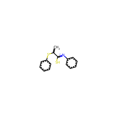 C=C(Sc1ccccc1)/C(S)=N/c1ccccc1